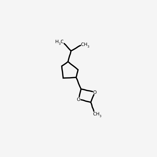 CC1OC(C2CCC(C(C)C)C2)O1